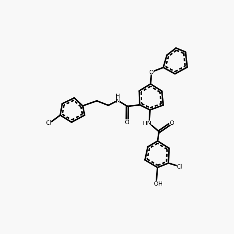 O=C(Nc1ccc(Oc2ccccc2)cc1C(=O)NCCc1ccc(Cl)cc1)c1ccc(O)c(Cl)c1